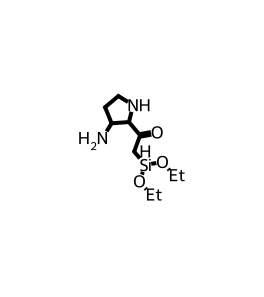 CCO[SiH](CC(=O)C1NCCC1N)OCC